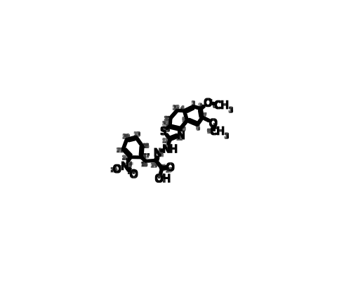 COc1cc2c(cc1OC)-c1nc(NN=C(Cc3ccccc3[N+](=O)[O-])C(=O)O)sc1CC2